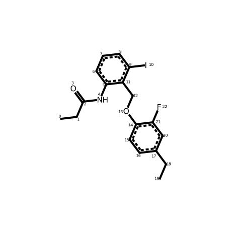 CCC(=O)Nc1cccc(I)c1COc1ccc(CC)cc1F